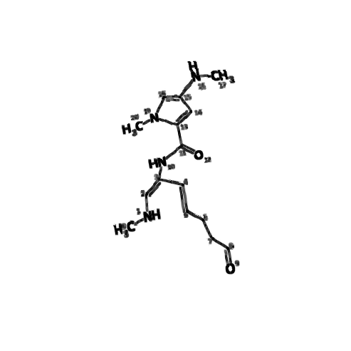 CN/C=C(\C=C\CCC=O)NC(=O)c1cc(NC)cn1C